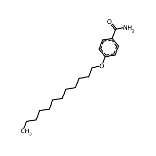 CCCCCCCCCCCCOc1ccc(C(N)=O)cc1